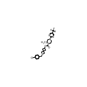 C[C@@H]1CN(c2ncc(C(F)(F)F)cn2)CCN1C(=O)OC1CC2(C1)CN(Cc1ccc(Cl)cc1)C2